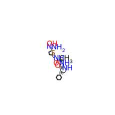 C[C@H](NC(=O)[C@H]1C[C@@H](c2ccccc2)CCN1)C(=O)NCc1ccc(/C(N)=N/O)s1